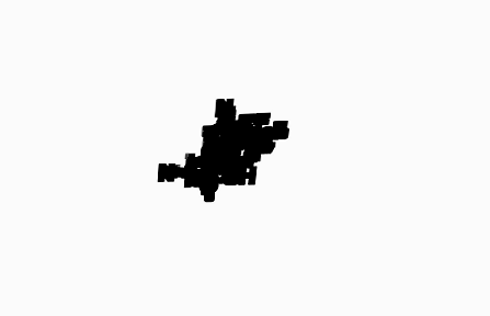 COc1nc(C#N)cc2c1[C@]1(O)C(O)[C@H](CN3CC(C(F)F)C3)[C@@H](c3ccccc3)[C@]1(c1ccc(C#N)cc1)O2